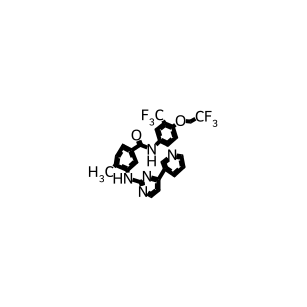 Cc1ccc(C(=O)Nc2ccc(OCC(F)(F)F)c(C(F)(F)F)c2)cc1Nc1nccc(-c2cccnc2)n1